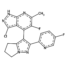 Cc1nc2[nH]nc(Cl)c2c(-c2c(-c3ccc(F)cn3)nn3c2CCC3)c1F